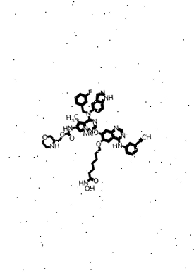 C#Cc1cccc(Nc2ncnc3cc(OC)c(OCCCCCCC(=O)NO)cc23)c1.Cc1c(NC(=O)OC[C@@H]2COCCN2)cn2ncnc(N(Cc3cccc(F)c3)c3ccc4[nH]ncc4c3)c12